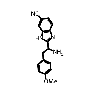 COc1ccc(CC(N)c2nc3ccc(C#N)cc3[nH]2)cc1